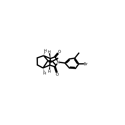 CC(C)=C1[C@H]2CC[C@@H]1[C@H]1C(=O)N(c3ccc(Br)c(C)c3)C(=O)[C@H]12